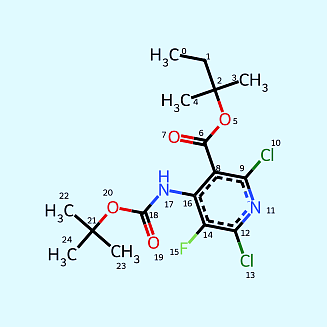 CCC(C)(C)OC(=O)c1c(Cl)nc(Cl)c(F)c1NC(=O)OC(C)(C)C